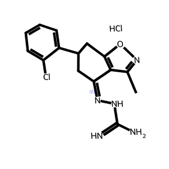 Cc1noc2c1/C(=N\NC(=N)N)CC(c1ccccc1Cl)C2.Cl